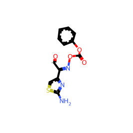 Nc1nc(/C([C]=O)=N/OC(=O)Oc2ccccc2)cs1